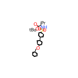 CC(C)C(NS(=O)(=O)c1ccc(-c2ccc(OCc3ccccc3)cc2)cc1)C(=O)OC(C)(C)C